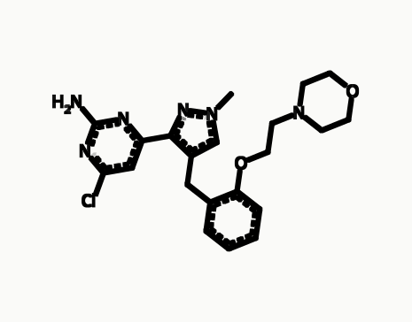 Cn1cc(Cc2ccccc2OCCN2CCOCC2)c(-c2cc(Cl)nc(N)n2)n1